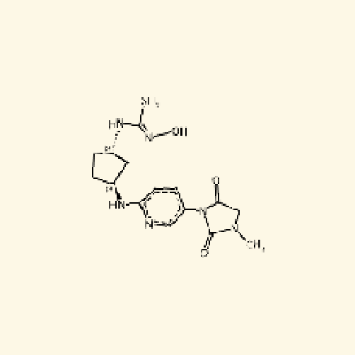 CN1CC(=O)N(c2ccc(N[C@H]3CC[C@H](NC(N)=NO)C3)nc2)C1=O